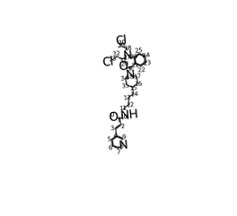 O=C(/C=C/c1cccnc1)NCCCCC1CCN(C(=O)c2ccccc2N(CCCl)CCCl)CC1